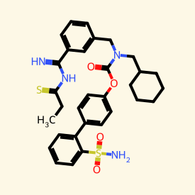 CCC(=S)NC(=N)c1cccc(CN(CC2CCCCC2)C(=O)Oc2ccc(-c3ccccc3S(N)(=O)=O)cc2)c1